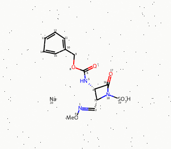 CON=C[C@@H]1[C@H](NC(=O)OCc2ccccc2)C(=O)N1S(=O)(=O)O.[Na]